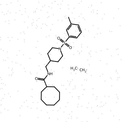 Cc1cccc(S(=O)(=O)N2CCC(CNC(=O)[C]3CCCCCCC3)CC2)c1.[CH2].[CH2]